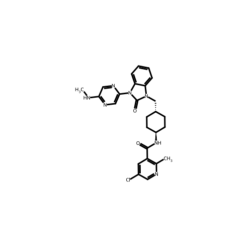 CNc1cnc(-n2c(=O)n(C[C@H]3CC[C@H](NC(=O)c4cc(Cl)cnc4C)CC3)c3ccccc32)cn1